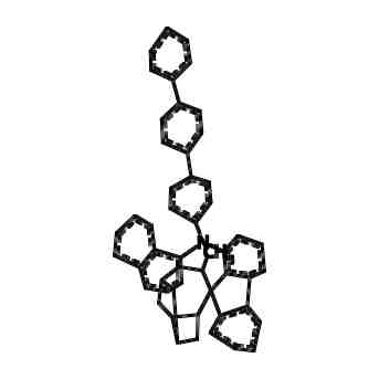 CC1CC2CC3CC(C3C2)C12c1ccccc1-c1cccc(N(c3ccc(-c4ccc(-c5ccccc5)cc4)cc3)c3cccc4ccccc34)c12